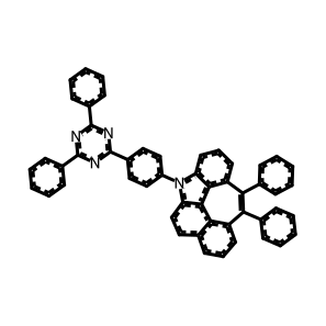 c1ccc(C2=C(c3ccccc3)c3cccc4c3c3c5c2cccc5ccc3n4-c2ccc(-c3nc(-c4ccccc4)nc(-c4ccccc4)n3)cc2)cc1